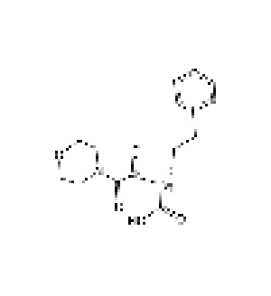 O=C(O)[C@@H](CCCc1ccccc1)[C@H](F)C(=O)N1CCOCC1